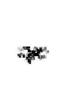 B[C@@H]1O[C@H](COC)[C@H](OP(=O)(O)OCCC)C1O